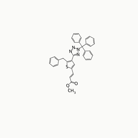 COC(=O)C=Cc1cc(-c2nnn(C(c3ccccc3)(c3ccccc3)c3ccccc3)n2)c(Cc2ccccc2)s1